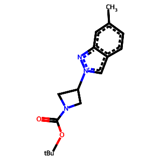 Cc1ccc2cn(C3CN(C(=O)OC(C)(C)C)C3)nc2c1